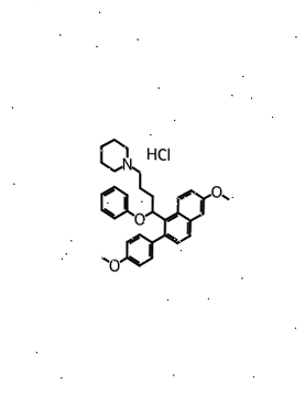 COc1ccc(-c2ccc3cc(OC)ccc3c2C(CCCN2CCCCC2)Oc2ccccc2)cc1.Cl